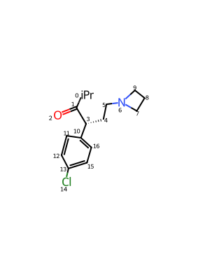 CC(C)C(=O)[C@H](CCN1CCC1)c1ccc(Cl)cc1